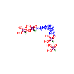 N.N.N.N.N.N.N.N.O=P(O)(O)F.O=P(O)(O)F.O=P(O)(O)F.O=P(O)(O)F